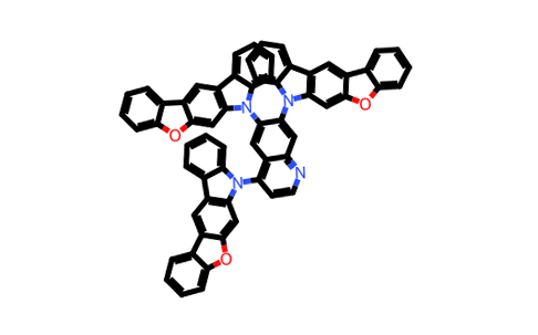 c1ccc2c(c1)oc1cc3c(cc12)c1ccccc1n3-c1cc2nccc(-n3c4ccccc4c4cc5c(cc43)oc3ccccc35)c2cc1-n1c2ccccc2c2cc3c(cc21)oc1ccccc13